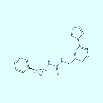 O=C(NCc1ccnc(-n2cccn2)c1)N[C@@H]1C[C@H]1c1ccccc1